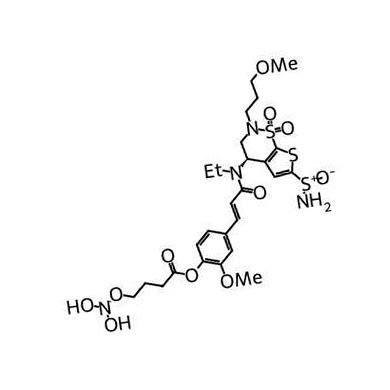 CCN(C(=O)/C=C/c1ccc(OC(=O)CCCON(O)O)c(OC)c1)[C@H]1CN(CCCOC)S(=O)(=O)c2sc([S+](N)[O-])cc21